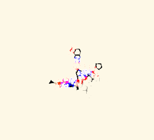 C=C[C@H]1C[C@@]1(NC(=O)C1C[C@@H](OC(=O)N2Cc3ccc4c(c3C2)OCO4)CN1C(=O)[C@@H](NC(=O)OC1CCCC1)C(C)C)C(=O)NS(=O)(=O)C1CC1